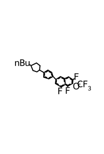 CCCCC1CCC(c2ccc(-c3cc(F)c4c(F)c(OC(F)(F)F)c(F)cc4c3)cc2)CC1